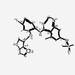 Cc1cc(N=S(C)(C)=O)cc2ncnc(Nc3ccc(F)cc3O[C@@H]3COC4CCOC43)c12